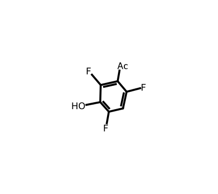 CC(=O)c1c(F)cc(F)c(O)c1F